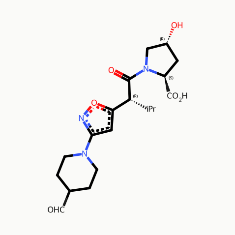 CC(C)[C@@H](C(=O)N1C[C@H](O)C[C@H]1C(=O)O)c1cc(N2CCC(C=O)CC2)no1